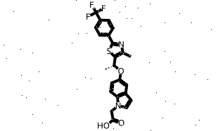 Cc1nc(-c2ccc(C(F)(F)F)cc2)sc1[C@@H](C)Oc1ccc2c(ccn2CC(=O)O)c1